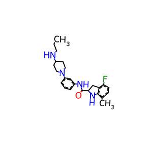 CCCNC1CCN(c2cccc(NC(=O)C3Cc4c(F)ccc(C)c4N3)c2)CC1